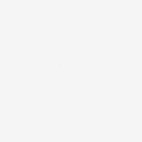 CC(=O)OCC1=C(C(=O)O)N2C(=O)[C@H](NC(=O)Cc3ccccc3)[C@@H]2S(=O)(=O)C1.CCN(CC)CC